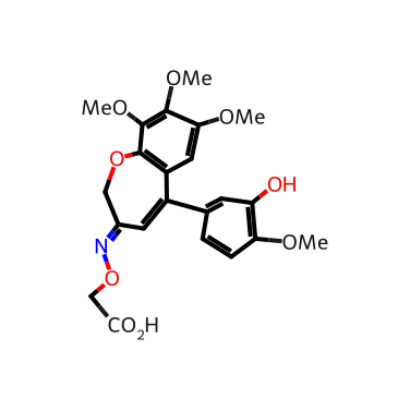 COc1ccc(C2=C/C(=N\OCC(=O)O)COc3c2cc(OC)c(OC)c3OC)cc1O